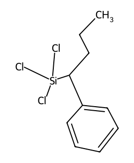 CCCC(c1ccccc1)[Si](Cl)(Cl)Cl